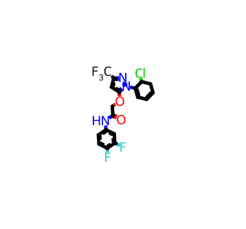 O=C(COc1cc(C(F)(F)F)nn1C1=CC=CCC1Cl)Nc1ccc(F)c(F)c1